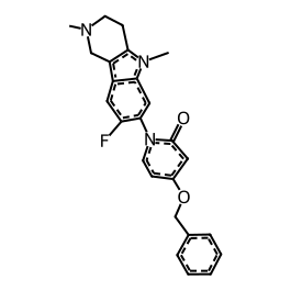 CN1CCc2c(c3cc(F)c(-n4ccc(OCc5ccccc5)cc4=O)cc3n2C)C1